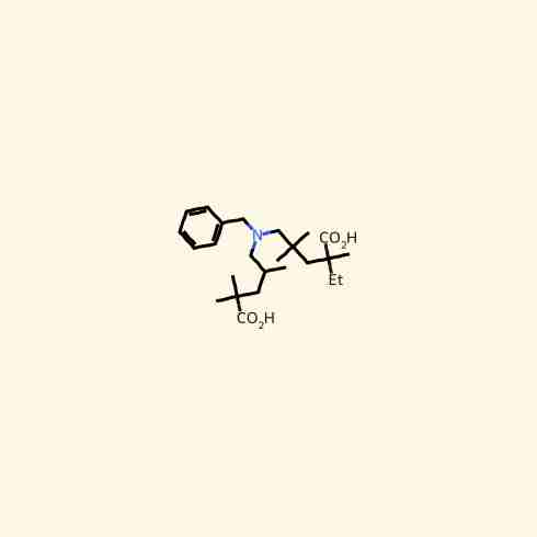 CCC(C)(CC(C)(C)CN(Cc1ccccc1)CC(C)CC(C)(C)C(=O)O)C(=O)O